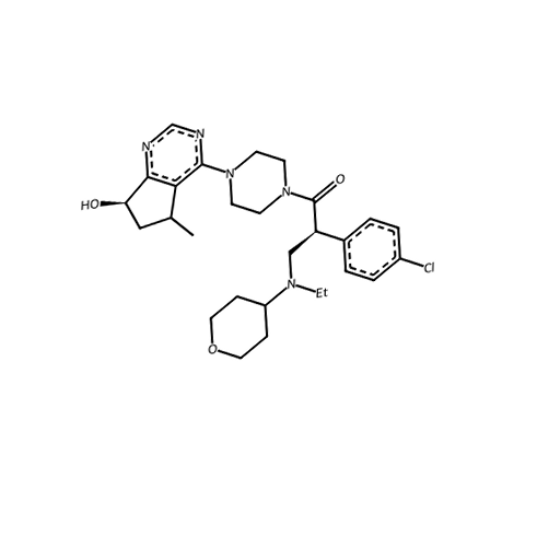 CCN(C[C@@H](C(=O)N1CCN(c2ncnc3c2C(C)C[C@H]3O)CC1)c1ccc(Cl)cc1)C1CCOCC1